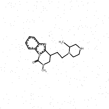 CC1CNCCN1CCC1CN(C)C(=O)n2c1nc1ccccc12